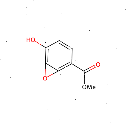 COC(=O)c1ccc(O)c2c1O2